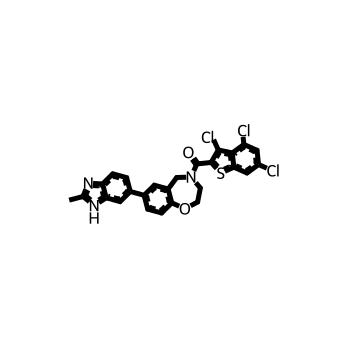 Cc1nc2ccc(-c3ccc4c(c3)CN(C(=O)c3sc5cc(Cl)cc(Cl)c5c3Cl)CCO4)cc2[nH]1